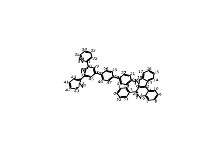 c1ccc(-c2nc3ccccc3c3c4ccccc4n(-c4ccc(-c5ccc(-c6cc(-c7ccccn7)nc(-c7ccccn7)c6)cc5)cc4)c23)cc1